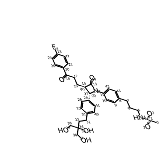 CS(=O)(=O)NCCCc1ccc(N2C(=O)[C@H](CCC(=O)c3ccc(F)cc3)[C@H]2c2ccc(CCC(O)(CO)CO)cc2)cc1